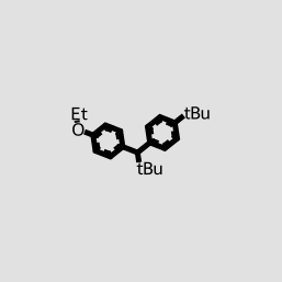 CCOc1ccc(C(c2ccc(C(C)(C)C)cc2)C(C)(C)C)cc1